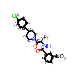 CC(C)[C@@H](NC(=O)c1cccc([N+](=O)[O-])c1)C(=O)N1CCC(c2ccc(Cl)cc2)CC1